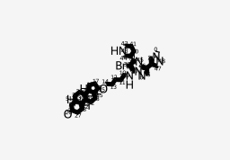 Cn1cc(-c2cnn3c(NCCCCCO[C@H]4CC[C@H]5[C@@H]6CC[C@H]7CC(=O)CC[C@]7(C)[C@H]6CC[C@]45C)c(Br)c([C@@H]4CCCNC4)nc23)cn1